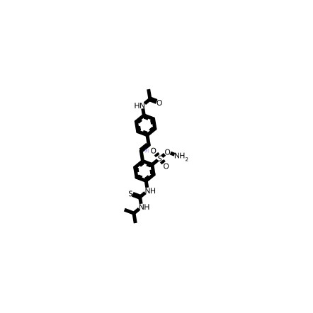 CC(=O)Nc1ccc(/C=C/c2ccc(NC(=S)NC(C)C)cc2S(=O)(=O)ON)cc1